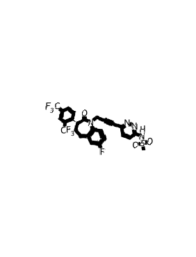 CS(=O)(=O)Nc1ccc(C#CCN2C(=O)[C@@H](c3ccc(C(F)(F)F)cc3C(F)(F)F)CCc3cc(F)ccc32)nn1